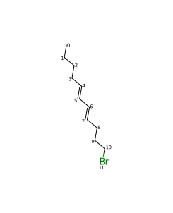 CCCC/C=C/C=C/CCCBr